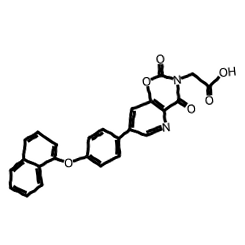 O=C(O)Cn1c(=O)oc2cc(-c3ccc(Oc4cccc5ccccc45)cc3)cnc2c1=O